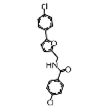 O=C(NCc1ccc(-c2ccc(Cl)cc2)o1)c1ccc(Cl)cc1